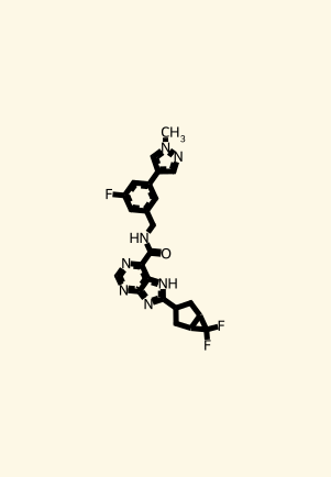 Cn1cc(-c2cc(F)cc(CNC(=O)c3ncnc4nc(C5CC6C(C5)C6(F)F)[nH]c34)c2)cn1